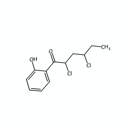 CCC(Cl)CC(Cl)C(=O)c1ccccc1O